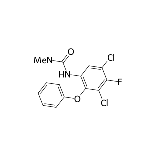 CNC(=O)Nc1cc(Cl)c(F)c(Cl)c1Oc1ccccc1